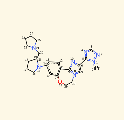 CC(C)n1ncnc1-c1cn2c(n1)-c1ccc(N3CCC[C@H]3CN3CCCC3)cc1OCC2